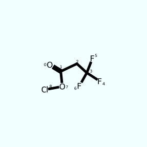 O=C(CC(F)(F)F)OCl